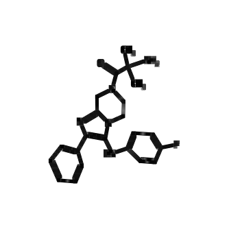 CC(C)(N)C(=O)N1CCn2c(nc(-c3ccccc3)c2Nc2ccc(F)cc2)C1